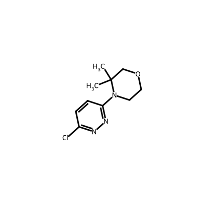 CC1(C)COCCN1c1ccc(Cl)nn1